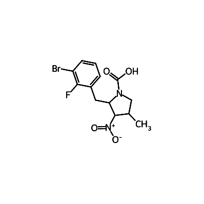 CC1CN(C(=O)O)C(Cc2cccc(Br)c2F)C1[N+](=O)[O-]